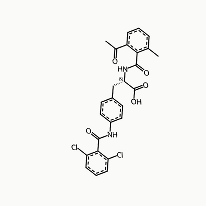 CC(=O)c1cccc(C)c1C(=O)N[C@@H](Cc1ccc(NC(=O)c2c(Cl)cccc2Cl)cc1)C(=O)O